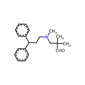 CN(CCC(c1ccccc1)c1ccccc1)CC(C)(C)C=O